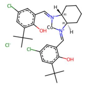 CC(C)(C)c1cc(Cl)cc(C=[N+]2[Co][N+](=Cc3cc(Cl)cc(C(C)(C)C)c3O)[C@@H]3CCCC[C@H]32)c1O.[Cl-]